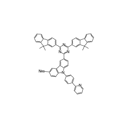 CC1(C)c2ccccc2-c2ccc(-c3nc(-c4ccc5c(c4)C(C)(C)c4ccccc4-5)nc(-c4ccc5c(c4)c4cc(C#N)ccc4n5-c4ccc(-c5ccccn5)cc4)n3)cc21